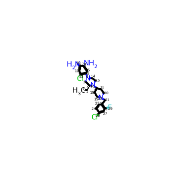 CC[C@H]1CN(c2cc(N)c(N)cc2Cl)CCN1C1CCN(Cc2ccc(Cl)cc2F)CC1